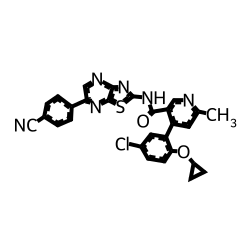 Cc1cc(-c2cc(Cl)ccc2OC2CC2)c(C(=O)Nc2nc3ncc(-c4ccc(C#N)cc4)nc3s2)cn1